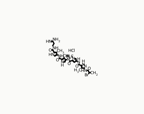 C=C(Br)C(=O)Nc1n[nH]c(C(=O)Nc2cc(C(=O)Nc3c[nH]c(C(=O)Nc4c[nH]c(C(=O)NCCC(=N)N)c4C)c3C)n(C)c2)c1C.Cl